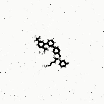 CCCCC(=O)N(Cc1ccc(-c2cccc(-c3cc(C(F)(F)F)ccc3C(N)=O)c2)cc1)c1cccc(F)c1